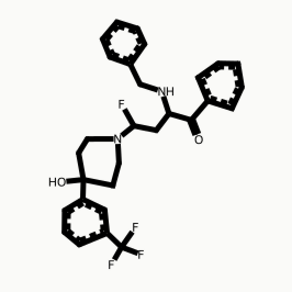 O=C(c1ccccc1)C(CC(F)N1CCC(O)(c2cccc(C(F)(F)F)c2)CC1)NCc1ccccc1